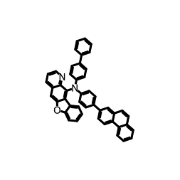 c1ccc(-c2ccc(N(c3ccc(-c4ccc5c(ccc6ccccc65)c4)cc3)c3c4ncccc4cc4oc5ccccc5c34)cc2)cc1